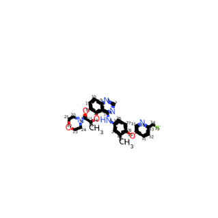 Cc1cc(Nc2ncnc3cccc(OC(C)C(=O)N4CCOCC4)c23)ccc1Oc1ccc(CF)nc1